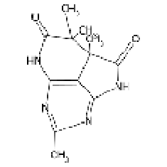 Cc1nc2c3c(n1)NC(=O)C3(C)C(C)(C)C(=O)N2